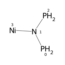 P[N](P)[Ni]